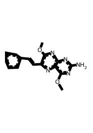 COc1nc2nc(N)nc(OC)c2nc1C=Cc1ccccc1